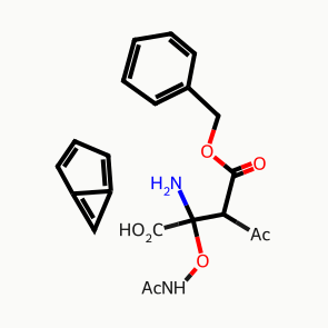 CC(=O)NOC(N)(C(=O)O)C(C(C)=O)C(=O)OCc1ccccc1.c1cc2cc-2c1